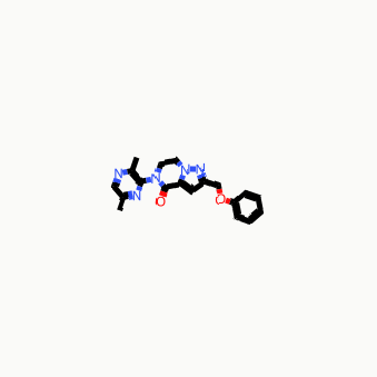 Cc1cnc(C)c(N2CCn3nc(COc4ccccc4)cc3C2=O)n1